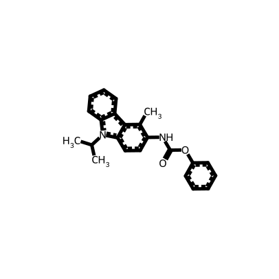 Cc1c(NC(=O)Oc2ccccc2)ccc2c1c1ccccc1n2C(C)C